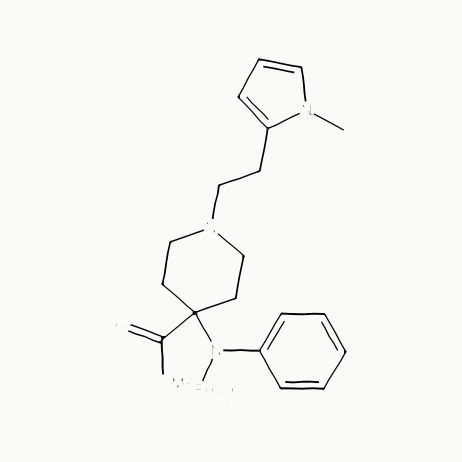 CCOC(=O)N(c1ccccc1)C1(C(=O)OC)CCN(CCc2cccn2C)CC1